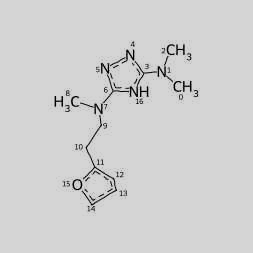 CN(C)c1nnc(N(C)CCc2ccco2)[nH]1